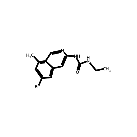 CCNC(=O)Nc1cc2cc(Br)cc(C)c2cn1